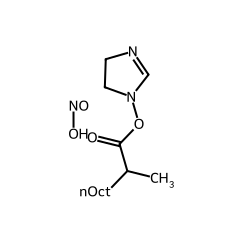 CCCCCCCCC(C)C(=O)ON1C=NCC1.O=NO